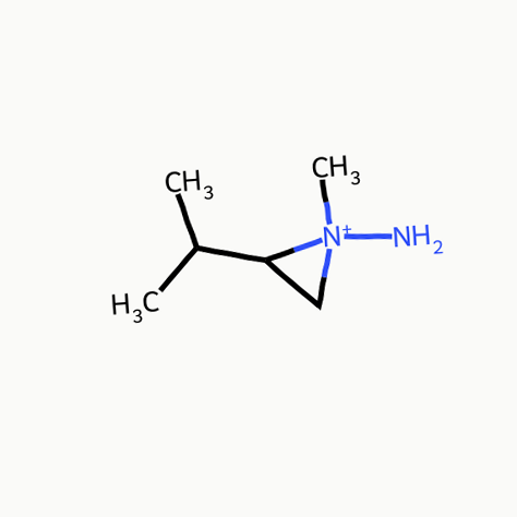 CC(C)C1C[N+]1(C)N